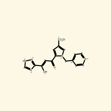 CCOC(=O)c1cc(C(=O)C=C(O)c2nc[nH]n2)n(Cc2ccncc2)c1